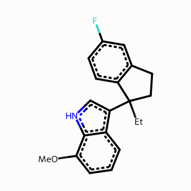 CCC1(c2c[nH]c3c(OC)cccc23)CCc2cc(F)ccc21